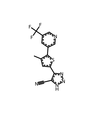 Cc1cc(-c2nn[nH]c2C#N)sc1-c1cncc(C(F)(F)F)c1